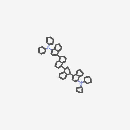 c1ccc(N(c2ccccc2)c2ccc(-c3cccc4c(-c5ccc(-c6ccc(N(c7ccccc7)c7ccccc7)c7ccccc67)c6ccccc56)cccc34)c3ccccc23)cc1